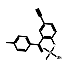 C#Cc1ccc(O[Si](C)(C)C(C)(C)C)c(C(=C)c2ccc(C)cc2)c1